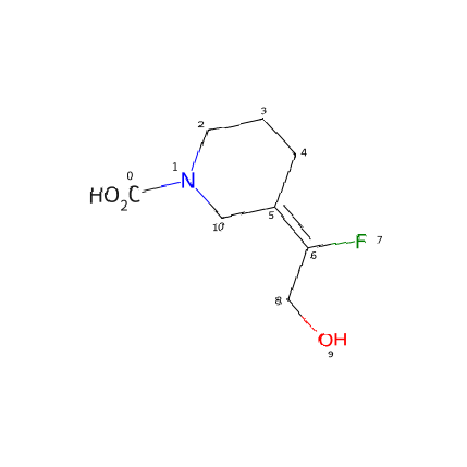 O=C(O)N1CCCC(=C(F)CO)C1